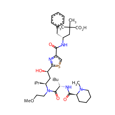 CC[C@@H](C)[C@H](NC(=O)[C@@H]1CCCCN1C)C(=O)N(CCOC)[C@H](C[C@@H](O)c1nc(C(=O)N[C@H](Cc2ccccc2)CC(C)(C)C(=O)O)cs1)C(C)C